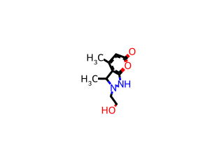 Cc1cc(=O)oc2c1C(C)N(CCO)N2